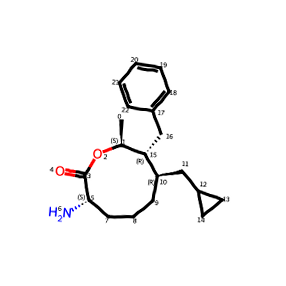 C[C@@H]1OC(=O)[C@@H](N)CCC[C@H](CC2CC2)[C@H]1Cc1ccccc1